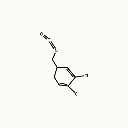 O=C=NCC1C=C(Cl)C(Cl)=CC1